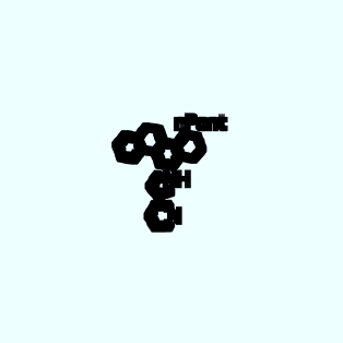 CCCCCC1=c2c(ccc3c2=CCc2ccccc2-3)CCC1.c1cc[nH]c1.c1ccncc1